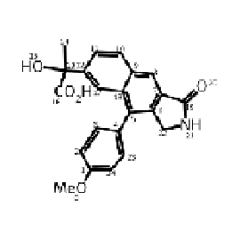 COc1ccc(-c2c3c(cc4ccc(C(C)(O)C(=O)O)cc24)C(=O)NC3)cc1